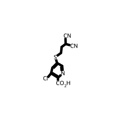 N#CC(C#N)CCSc1cnc(C(=O)O)c(Cl)c1